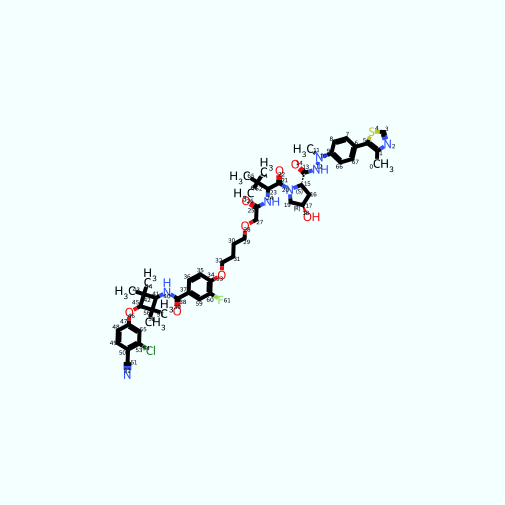 Cc1ncsc1-c1ccc(N(C)NC(=O)[C@@H]2C[C@@H](O)CN2C(=O)C(NC(=O)COCCCCOc2ccc(C(=O)NC3C(C)(C)C(Oc4ccc(C#N)c(Cl)c4)C3(C)C)cc2F)C(C)(C)C)cc1